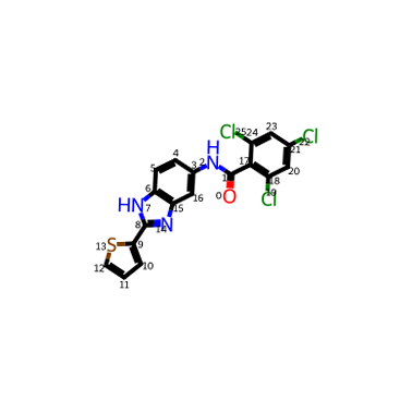 O=C(Nc1ccc2[nH]c(-c3cccs3)nc2c1)c1c(Cl)cc(Cl)cc1Cl